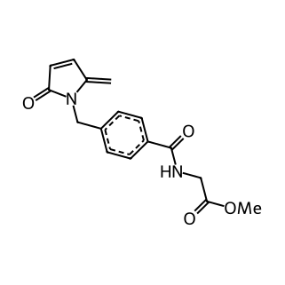 C=C1C=CC(=O)N1Cc1ccc(C(=O)NCC(=O)OC)cc1